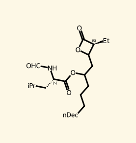 CCCCCCCCCCCCCC(CC1OC(=O)[C@H]1CC)OC(=O)[C@H](CC(C)C)NC=O